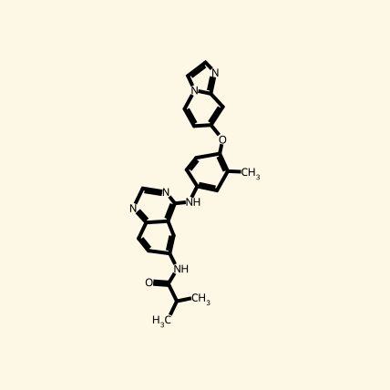 Cc1cc(Nc2ncnc3ccc(NC(=O)C(C)C)cc23)ccc1Oc1ccn2ccnc2c1